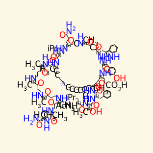 CC(=O)N[C@@H](CC(C)C)C(=O)N[C@H](C(=O)N[C@@H](Cc1ccccc1)C(=O)N[C@]1(C)CCCCCC/C=C/CCC[C@@](C)(C(=O)CN[C@@H](C)C(=O)CCN[C@@H](C)C(=O)CCN[C@@H](C)C(=O)CCN[C@@H](C)C(=O)CNC(C)(C)C(=O)N[C@H](C)C(N)=O)NC(=O)[C@H](CC(C)C)NN[C@@H](CCC(N)=O)C(=O)CN[C@@H](C)C(=O)CC(=O)[C@H](Cc2c[nH]c3ccccc23)NN[C@@H](Cc2ccc(O)cc2)C(=O)N[C@@H](CCC(=O)O)C(=O)C1=O)[C@@H](C)O